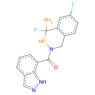 O=C(c1cccc2cn[nH]c12)N1Cc2ccc(F)cc2C(F)(P)P1